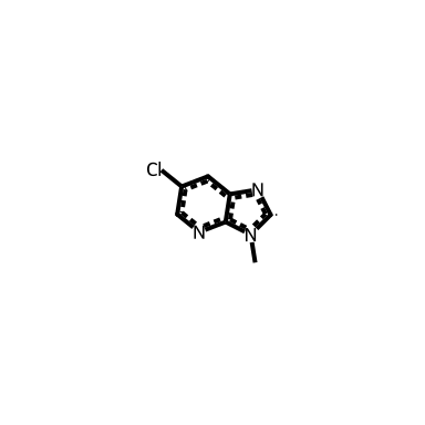 Cn1[c]nc2cc(Cl)cnc21